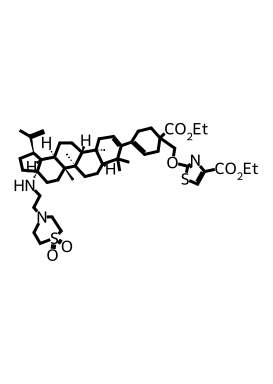 C=C(C)[C@@H]1CC[C@]2(NCCN3CCS(=O)(=O)CC3)CC[C@]3(C)[C@H](CC[C@@H]4[C@@]5(C)CC=C(C6=CCC(COc7nc(C(=O)OCC)cs7)(C(=O)OCC)CC6)C(C)(C)[C@@H]5CC[C@]43C)[C@@H]12